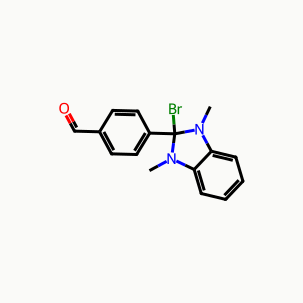 CN1c2ccccc2N(C)C1(Br)c1ccc(C=O)cc1